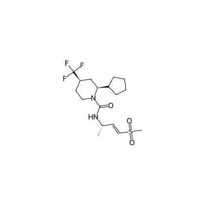 C[C@@H](/C=C/S(C)(=O)=O)NC(=O)N1CC[C@@H](C(F)(F)F)C[C@H]1C1CCCC1